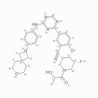 CC(O)C(=O)N1CC[C@H](Oc2ccc(-c3ncnc(Nc4ccc(N5CC6(CCOCC6)C5)cc4)n3)cc2C#N)[C@H](F)C1